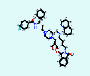 O=C(N[C@@H](CCN1CCN(CC2COC2)[C@@H](CN(CCCCN2C(=O)c3ccccc3C2=O)[C@H]2CCCc3cccnc32)C1)c1ccccc1)C1CCC(F)(F)CC1